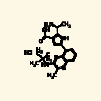 Cc1nc2cccc(-c3cc(C(=O)O)c(C(C)N)[nH]3)c2nc1NC(C)(C)C.Cl